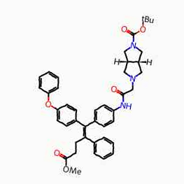 COC(=O)CC/C(=C(/c1ccc(NC(=O)CN2C[C@@H]3CN(C(=O)OC(C)(C)C)C[C@@H]3C2)cc1)c1ccc(Oc2ccccc2)cc1)c1ccccc1